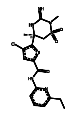 CCc1cccc(NC(=O)c2cc(Cl)c([C@]3(C)CS(=O)(=O)N(C)C(=N)N3)s2)n1